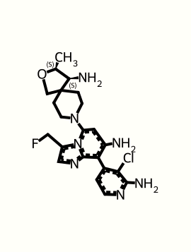 C[C@@H]1OCC2(CCN(c3cc(N)c(-c4ccnc(N)c4Cl)c4ncc(CF)n34)CC2)[C@@H]1N